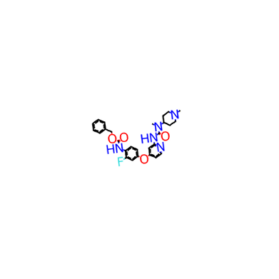 CN1CCC(N(C)C(=O)Nc2cc(Oc3ccc(NC(=O)OCc4ccccc4)c(F)c3)ccn2)CC1